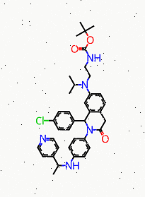 CC(Nc1ccc(N2C(=O)Cc3ccc(N(CCNC(=O)OC(C)(C)C)C(C)C)cc3C2c2ccc(Cl)cc2)cc1)c1ccncc1